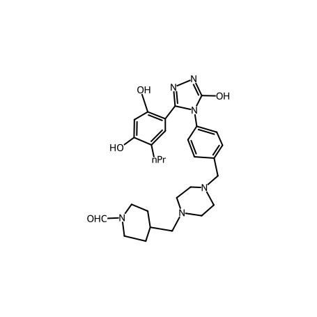 CCCc1cc(-c2nnc(O)n2-c2ccc(CN3CCN(CC4CCN(C=O)CC4)CC3)cc2)c(O)cc1O